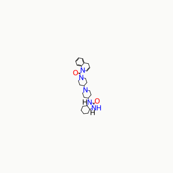 O=C(N1CCC(N2CCC(N3C(=O)N[C@H]4CCCC[C@@H]43)CC2)CC1)N1C=CCc2ccccc21